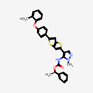 C[C@@H](OC(=O)Nc1c(-c2cc3sc(-c4ccc(Oc5ccccc5C(=O)O)cc4)cc3s2)cnn1C)c1ccccc1